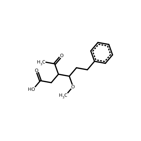 COC(CCc1ccccc1)C(CC(=O)O)C(C)=O